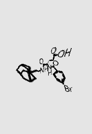 O=C(O)CC[C@H](NC(=O)c1ccc(Br)cc1)C(=O)NCC12CC3CC(CC(C3)C1)C2